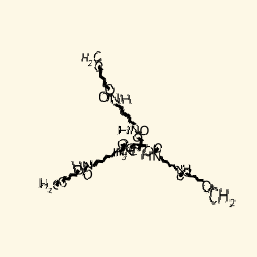 C=COCCCCOC(=O)NCCCCCCNC(=O)OCC(CC)(COC(=O)NCCCCCCNC(=O)OCCCCOC=C)COC(=O)NCCCCCCNC(=O)OCCCCOC=C